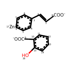 O=C([O-])C=Cc1ccccc1.O=C([O-])c1ccccc1O.[Zn+2]